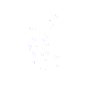 Cc1nn(-c2cc(Nc3c(C)c(-c4ccc(C#N)cc4)nn3C)ncn2)c(C)c1C(O)C(F)(F)F